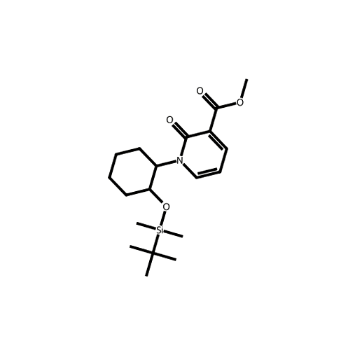 COC(=O)c1cccn(C2CCCCC2O[Si](C)(C)C(C)(C)C)c1=O